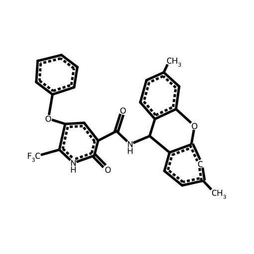 Cc1ccc2c(c1)Oc1cc(C)ccc1C2NC(=O)c1cc(Oc2ccccc2)c(C(F)(F)F)[nH]c1=O